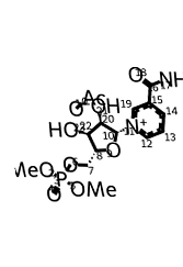 CC(=O)[O-].COP(=O)(OC)OC[C@H]1O[C@@H]([n+]2cccc(C(N)=O)c2)[C@H](O)[C@@H]1O